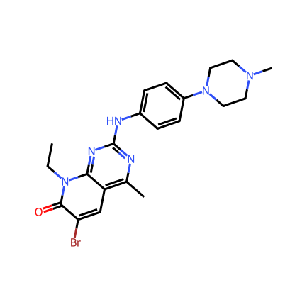 CCn1c(=O)c(Br)cc2c(C)nc(Nc3ccc(N4CCN(C)CC4)cc3)nc21